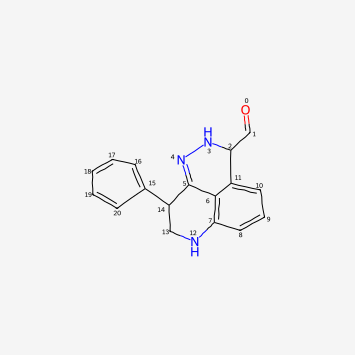 O=CC1NN=C2c3c(cccc31)NCC2c1ccccc1